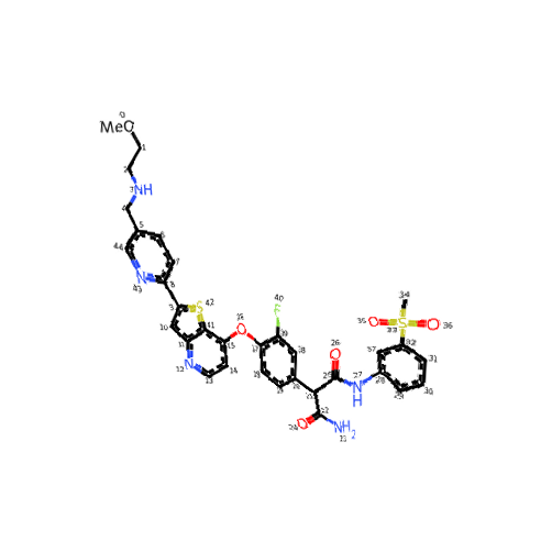 COCCNCc1ccc(-c2cc3nccc(Oc4ccc(C(C(N)=O)C(=O)Nc5cccc(S(C)(=O)=O)c5)cc4F)c3s2)nc1